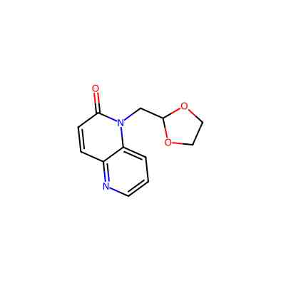 O=c1ccc2ncccc2n1CC1OCCO1